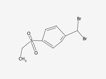 CCS(=O)(=O)c1ccc(C(Br)Br)cc1